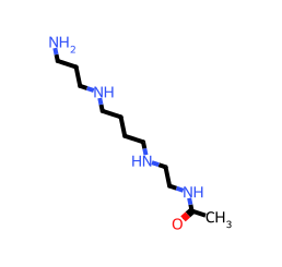 CC(=O)NCCNCCCCNCCCN